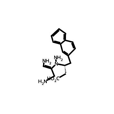 N/C=C(/CN)N(N)[C@@H](CC(=O)O)Cc1ccc2ccccc2c1